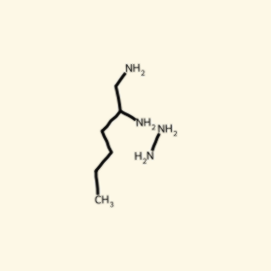 CCCCC(N)CN.NN